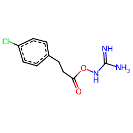 N=C(N)NOC(=O)CCc1ccc(Cl)cc1